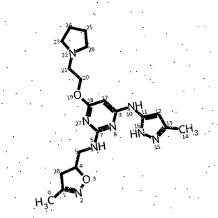 CC1=NOC(CNc2nc(Nc3cc(C)n[nH]3)cc(OCCN3CCCC3)n2)C1